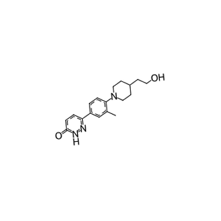 Cc1cc(-c2ccc(=O)[nH]n2)ccc1N1CCC(CCO)CC1